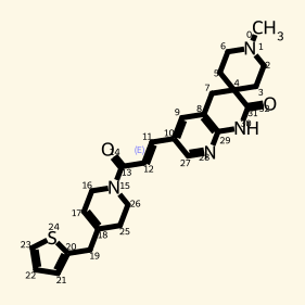 CN1CCC2(CC1)Cc1cc(/C=C/C(=O)N3CC=C(Cc4cccs4)CC3)cnc1NC2=O